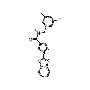 Cc1cc(F)cc(CN(C)C(=O)c2cnn(-c3nc4ccccc4s3)c2)c1